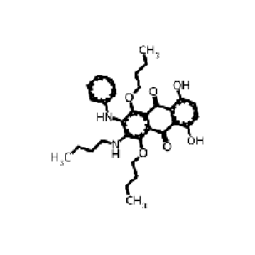 CCCCNc1c(Nc2ccccc2)c(OCCCC)c2c(c1OCCCC)C(=O)c1c(O)ccc(O)c1C2=O